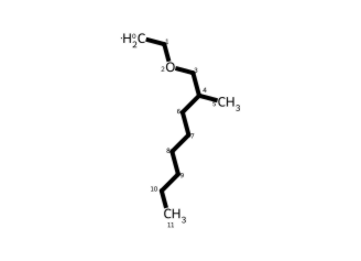 [CH2]COCC(C)CCCCCC